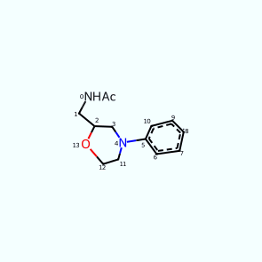 CC(=O)NCC1CN(c2cc[c]cc2)CCO1